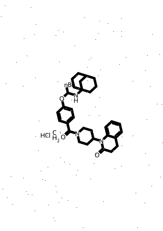 CCCCC(NC12CCCC(CCC1)C2)Oc1ccc(C(=O)N2CCC(N3C(=O)CCc4ccccc43)CC2)cc1.Cl.[CH2]